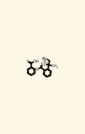 CC(C)(C)CC(C)(C)c1ccccc1C(O)=S.OC(=S)c1ccccc1